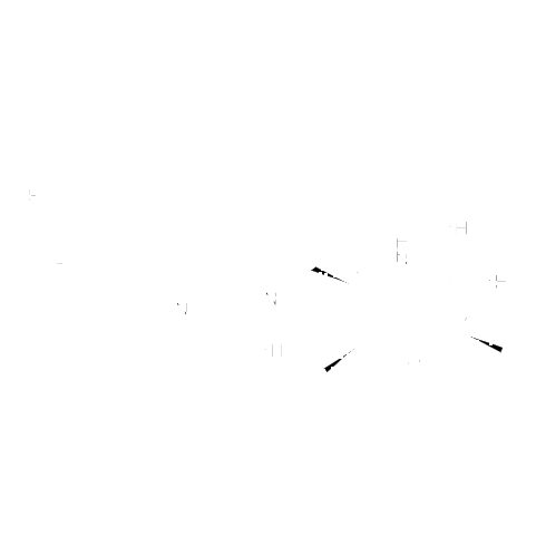 [2H]N(C[C@H]1NC([2H])([2H])[C@@H](C)O[C@H]1C)c1ccc(C(F)(F)F)cn1